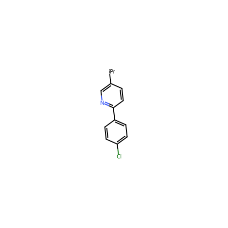 CC(C)c1ccc(-c2ccc(Cl)cc2)nc1